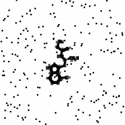 CC(C)(C)OC(=O)N[C@@H](Cc1c[nH]c2cccc(Cl)c12)C(=O)O